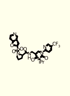 CC(C)n1c(=O)c(CNC(=O)C2CCCN2S(=O)(=O)c2cc3cnccc3o2)cn(-c2ccc(C(F)(F)F)cn2)c1=O